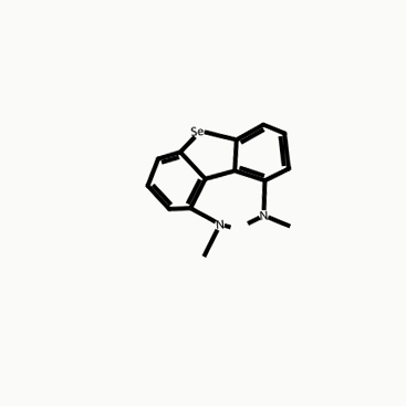 CN(C)c1cccc2[se]c3cccc(N(C)C)c3c12